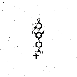 CC(C)(C)OC(=O)N1CCN(c2cc(F)c(N3CCC(=O)NC3=O)c(F)c2)CC1